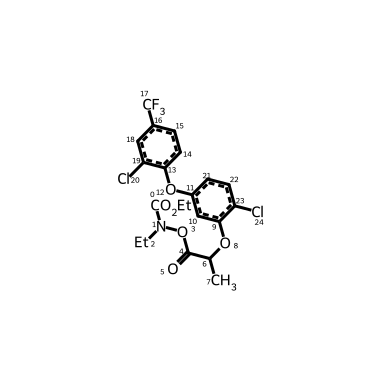 CCOC(=O)N(CC)OC(=O)C(C)Oc1cc(Oc2ccc(C(F)(F)F)cc2Cl)ccc1Cl